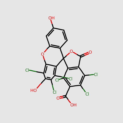 O=C(O)c1c(Cl)c(Cl)c2c(c1Cl)C1(OC2=O)c2ccc(O)cc2Oc2c(Cl)c(O)c(Cl)c(Cl)c21